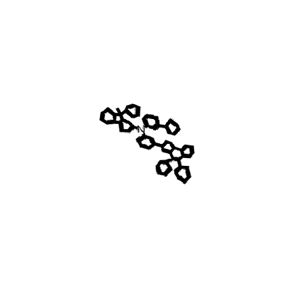 CC1(c2ccccc2)c2ccccc2-c2ccc(N(c3cccc(-c4ccccc4)c3)c3cccc(-c4ccc5c(c4)c(-c4ccccc4)c(-c4ccccc4)c4ccccc45)c3)cc21